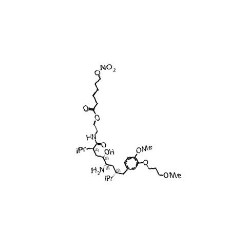 COCCCOc1cc(C[C@@H](C[C@H](N)[C@@H](O)C[C@H](C(=O)NCCOC(=O)CCCCCO[N+](=O)[O-])C(C)C)C(C)C)ccc1OC